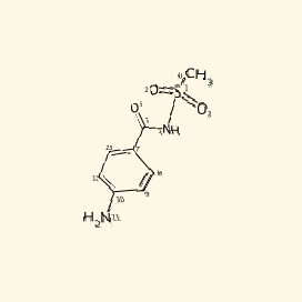 CS(=O)(=O)NC(=O)c1ccc(N)cc1